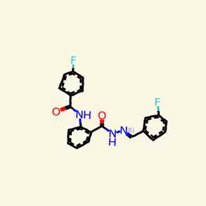 O=C(Nc1ccccc1C(=O)N/N=C/c1cccc(F)c1)c1ccc(F)cc1